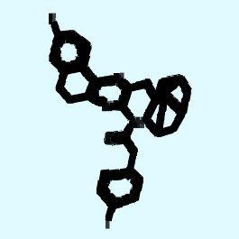 O=C(Cc1ccc(I)cc1)Nc1nc2c(nc1CC13CC4CC(CC(C4)C1)C3)-c1ccc(F)cc1CC2